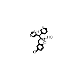 O=COC(Cc1cc(Cl)ccc1Cl)C(c1cccnc1)c1cnc[nH]1